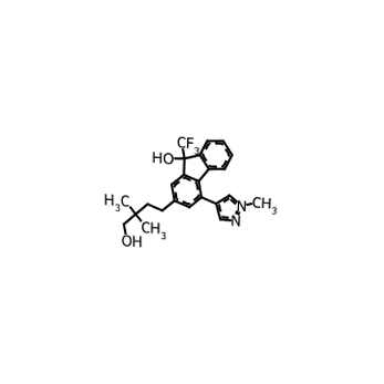 Cn1cc(-c2cc(CCC(C)(C)CO)cc3c2-c2ccccc2C3(O)C(F)(F)F)cn1